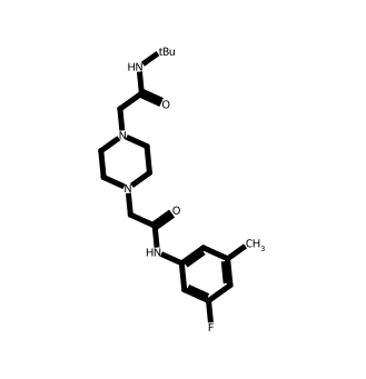 Cc1cc(F)cc(NC(=O)CN2CCN(CC(=O)NC(C)(C)C)CC2)c1